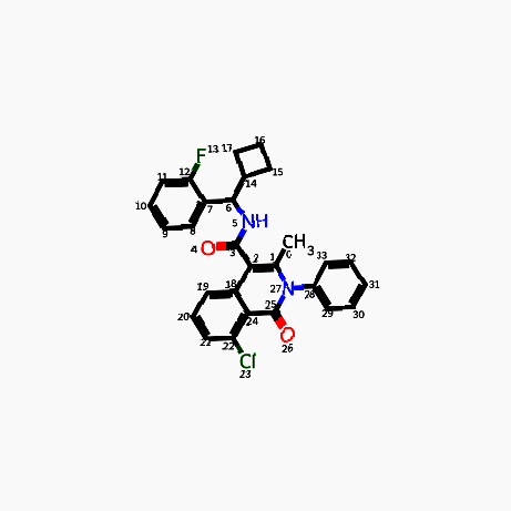 Cc1c(C(=O)NC(c2ccccc2F)C2CCC2)c2cccc(Cl)c2c(=O)n1-c1ccccc1